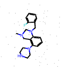 CN1Cc2c(N3CCNCC3)cccc2N(Cc2ccccc2F)C1